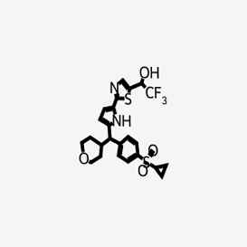 O=S(=O)(c1ccc(C(c2ccc(-c3ncc(C(O)C(F)(F)F)s3)[nH]2)C2CCOCC2)cc1)C1CC1